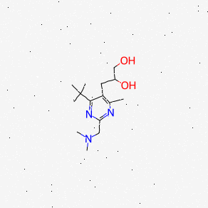 Cc1nc(CN(C)C)nc(C(C)(C)C)c1CC(O)CO